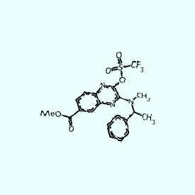 COC(=O)c1ccc2nc(OS(=O)(=O)C(F)(F)F)c(N(C)C(C)c3ccccc3)nc2c1